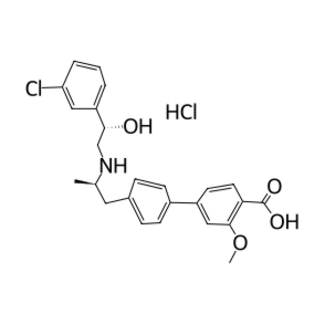 COc1cc(-c2ccc(C[C@@H](C)NC[C@@H](O)c3cccc(Cl)c3)cc2)ccc1C(=O)O.Cl